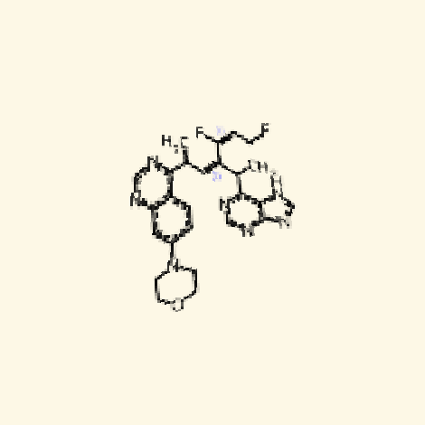 C=C(/C=C(\C(F)=C/CF)C(C)c1ncnc2nc[nH]c12)c1ncnc2cc(N3CCOCC3)ccc12